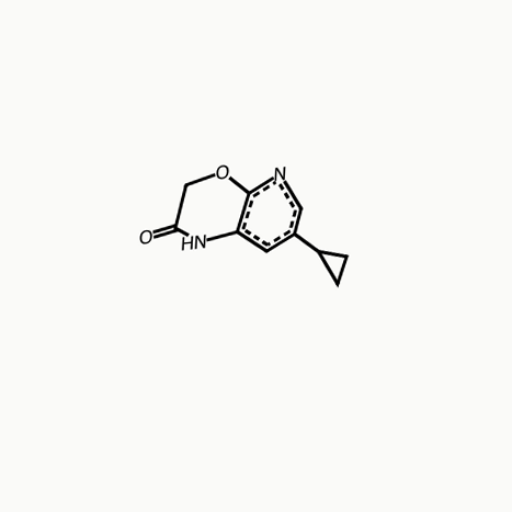 O=C1COc2ncc(C3CC3)cc2N1